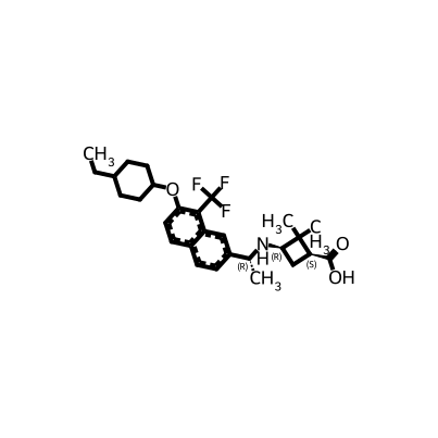 CCC1CCC(Oc2ccc3ccc([C@@H](C)N[C@@H]4C[C@H](C(=O)O)C4(C)C)cc3c2C(F)(F)F)CC1